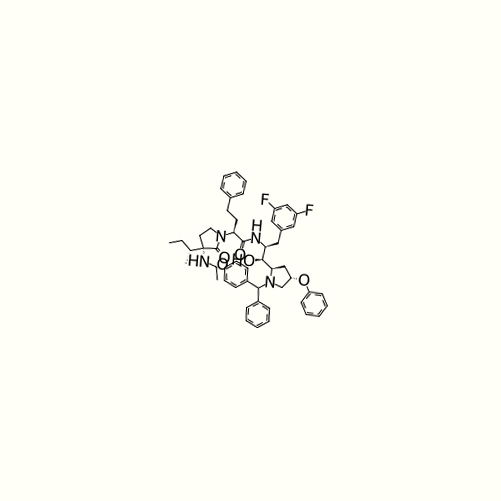 CC[C@@H](C)[C@@]1(NC(C)=O)CCN([C@@H](CCc2ccccc2)C(=O)N[C@@H](Cc2cc(F)cc(F)c2)[C@H](O)[C@H]2C[C@H](Oc3ccccc3)CN2C(c2ccccc2)c2ccccc2)C1=O